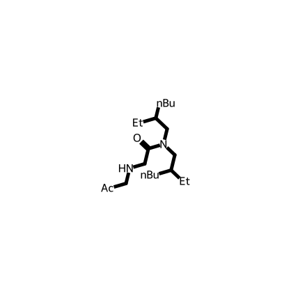 CCCCC(CC)CN(CC(CC)CCCC)C(=O)CNCC(C)=O